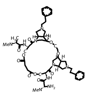 CN[C@@H](C)C(=O)N[C@H]1COC(=O)CCC(=O)OC[C@H](NC(=O)[C@H](N)NC)C(=O)N2C[C@@H](OCCO[C@@H]3CN(C1=O)[C@@H]1CN(CCc4ccccc4)C[C@@H]13)[C@H]1CN(CCc3ccccc3)C[C@H]12